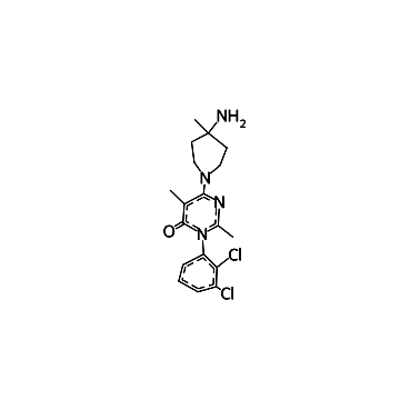 Cc1c(N2CCC(C)(N)CC2)nc(C)n(-c2cccc(Cl)c2Cl)c1=O